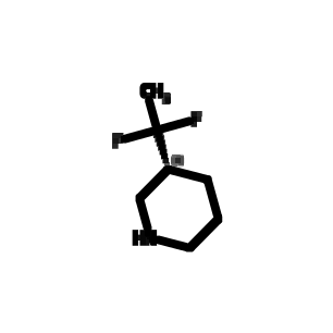 CC(F)(F)[C@@H]1CCCNC1